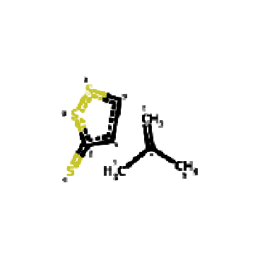 C=C(C)C.S=c1ccss1